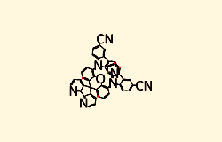 N#Cc1ccc2c(c1)c1ccccc1n2-c1cccc2c1Oc1c(-n3c4ccc(C#N)cc4c4ccncc43)cccc1C21c2cccnc2-c2ncccc21